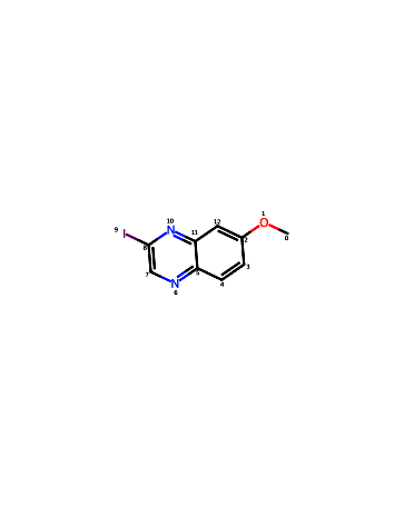 COc1ccc2ncc(I)nc2c1